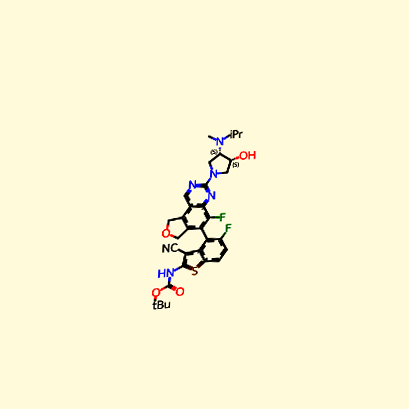 CC(C)N(C)[C@H]1CN(c2ncc3c4c(c(-c5c(F)ccc6sc(NC(=O)OC(C)(C)C)c(C#N)c56)c(F)c3n2)COC4)C[C@@H]1O